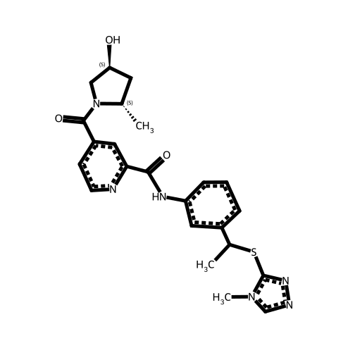 CC(Sc1nncn1C)c1cccc(NC(=O)c2cc(C(=O)N3C[C@@H](O)C[C@@H]3C)ccn2)c1